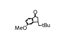 COc1ccc2c(c1)C(CC(C)(C)C)CC2=O